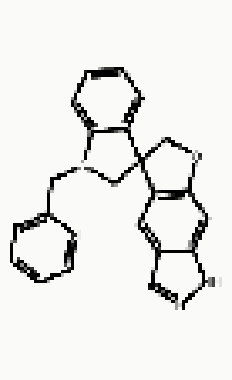 c1ccc(CN2CC3(COc4cc5[nH]ncc5cc43)c3ccccc32)nc1